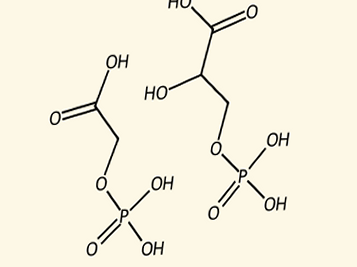 O=C(O)C(O)COP(=O)(O)O.O=C(O)COP(=O)(O)O